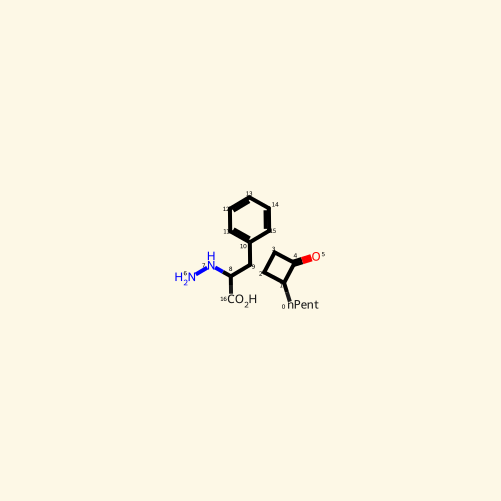 CCCCCC1CCC1=O.NNC(Cc1ccccc1)C(=O)O